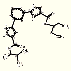 CCC(CC)NC(=O)c1cnc(-c2cccc(-c3cc(C(=O)NC(C)C(C)C)n[nH]3)c2)o1